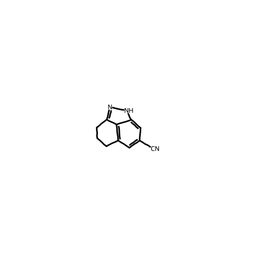 N#Cc1cc2c3c(n[nH]c3c1)CCC2